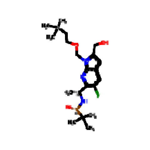 C[C@@H](N[S@@+]([O-])C(C)(C)C)c1nc2c(cc1F)cc(CO)n2COCC[Si](C)(C)C